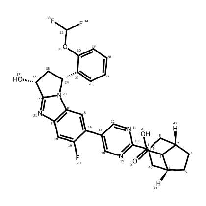 O=C(O)C1[C@@H]2CC[C@H]1CN(c1ncc(-c3cc4c(cc3F)nc3n4[C@@H](c4ccccc4OC(F)F)C[C@H]3O)cn1)C2